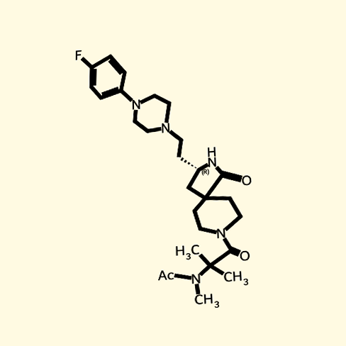 CC(=O)N(C)C(C)(C)C(=O)N1CCC2(CC1)C[C@H](CCN1CCN(c3ccc(F)cc3)CC1)NC2=O